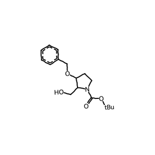 CC(C)(C)OC(=O)N1CCC(OCc2ccccc2)C1CO